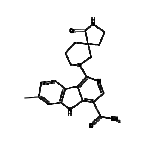 Cc1ccc2c(c1)[nH]c1c(C(N)=O)cnc(N3CCCC4(CCNC4=O)C3)c12